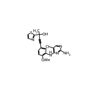 COc1ccc(C#CC(C)(O)c2nccs2)cc1Nc1nc(N)ncc1Cl